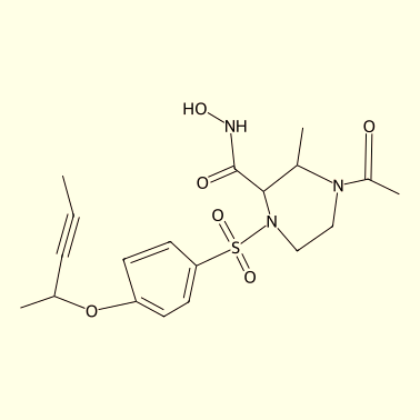 CC#CC(C)Oc1ccc(S(=O)(=O)N2CCN(C(C)=O)C(C)C2C(=O)NO)cc1